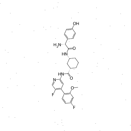 COc1cc(F)ccc1-c1cc(NC(=O)[C@H]2CCC[C@@H](NC(=O)[C@H](N)c3ccc(O)cc3)C2)ncc1F